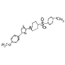 COc1ccc(-c2csc(N3CCC(S(=O)(=O)c4ccc(C)cc4)CC3)n2)cc1